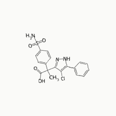 CC(C(=O)O)(c1ccc(S(N)(=O)=O)cc1)c1n[nH]c(-c2ccccc2)c1Cl